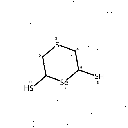 SC1CSCC(S)[Se]1